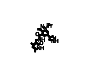 Cc1cc(C)c(CNC(=O)c2cc(C3C=NNC3)cc3c2c(C)nn3C(C)C)c(=O)[nH]1